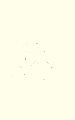 CC1Sc2c(C(=O)O)c(=O)c3cc(F)c(N4CCNCC4)cc3n21.N[C@@H](CCC(=O)O)C(=O)O